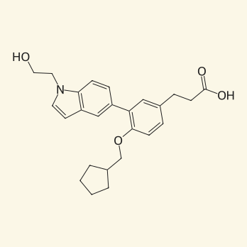 O=C(O)CCc1ccc(OCC2CCCC2)c(-c2ccc3c(ccn3CCO)c2)c1